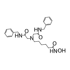 O=C(CCCCCN(CC(=O)NCc1ccccc1)CC(=O)NCc1ccccc1)NO